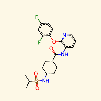 CC(C)S(=O)(=O)NC1CCC(C(=O)Nc2cccnc2Oc2ccc(F)cc2F)CC1